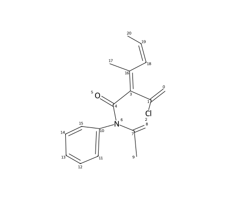 C=C(Cl)/C(C(=O)N(C(=C)C)c1ccccc1)=C(C)\C=C/C